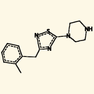 Cc1ccccc1Cc1nsc(N2CCNCC2)n1